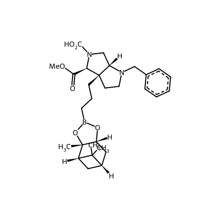 COC(=O)[C@H]1N(C(=O)O)C[C@@H]2N(Cc3ccccc3)CC[C@@]21CCCB1O[C@@H]2C[C@@H]3C[C@@H](C3(C)C)[C@]2(C)O1